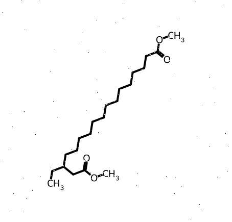 CCC(CCCCCCCCCCCCCC(=O)OC)CC(=O)OC